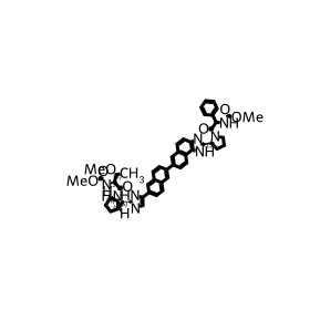 COC(=O)NC(C(=O)N1CCC[C@H]1c1nc2ccc3cc(-c4ccc5cc(-c6cnc([C@@H]7[C@H]8CC[C@H](C8)N7C(=O)[C@@H](NC(=O)OC)[C@@H](C)OC)[nH]6)ccc5c4)ccc3c2[nH]1)c1ccccc1